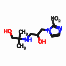 CC(C)(CO)NCC(O)Cn1ccnc1[N+](=O)[O-]